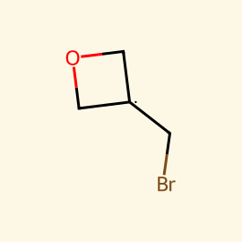 BrC[C]1COC1